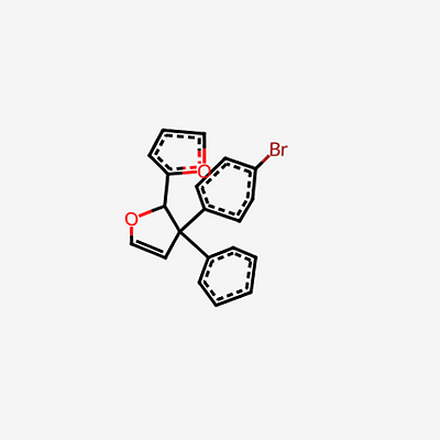 Brc1ccc(C2(c3ccccc3)C=COC2c2ccco2)cc1